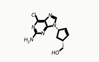 Nc1nc(Cl)c2ncn([C@@H]3C=C[C@H](CO)C3)c2n1